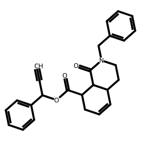 C#CC(OC(=O)C1CC=CC2CCN(Cc3ccccc3)C(=O)C21)c1ccccc1